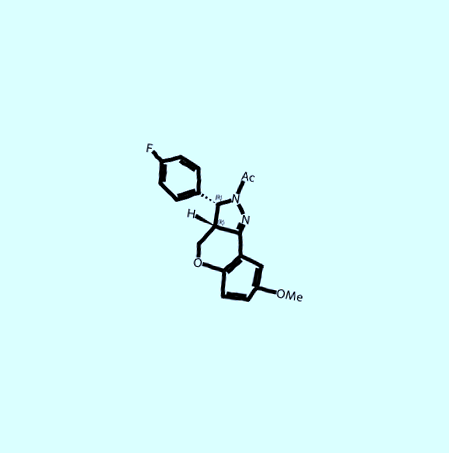 COc1ccc2c(c1)C1=NN(C(C)=O)[C@@H](c3ccc(F)cc3)[C@H]1CO2